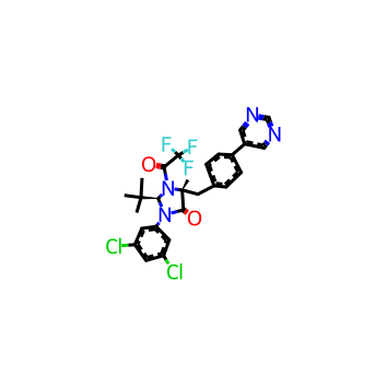 CC(C)(C)[C@@H]1N(c2cc(Cl)cc(Cl)c2)C(=O)[C@@](C)(Cc2ccc(-c3cncnc3)cc2)N1C(=O)C(F)(F)F